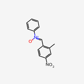 Cc1cc([N+](=O)[O-])ccc1C=[N+]([O-])c1ccccc1